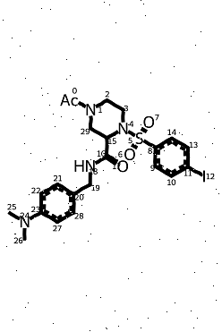 CC(=O)N1CCN(S(=O)(=O)c2ccc(I)cc2)C(C(=O)NCc2ccc(N(C)C)cc2)C1